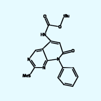 CSc1ncc2c(NC(=O)OC(C)(C)C)cc(=O)n(-c3ccccc3)c2n1